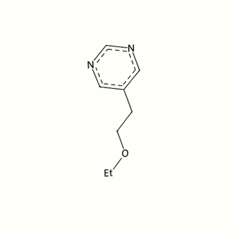 CCOCCc1cncnc1